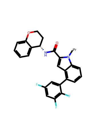 CC(C)n1c(C(=O)N[C@H]2CCOc3ccccc32)cc2c(-c3cc(F)cc(F)c3F)cccc21